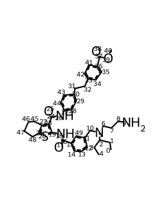 CCC(CC)N(CCCN)Cc1cccc(C(=O)Nc2sc3c(c2C(=O)Nc2ccc(CCc4ccc(C(=O)OC)cc4)cc2)CCCC3)c1